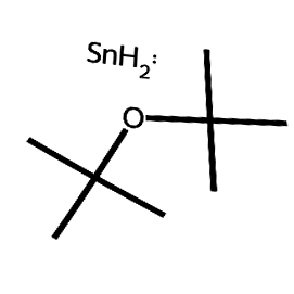 CC(C)(C)OC(C)(C)C.[SnH2]